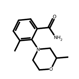 Cc1cccc(C(N)=O)c1N1CCOC(C)C1